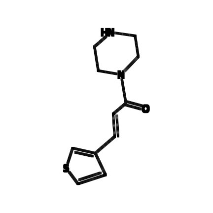 O=C(C=Cc1ccsc1)N1CCNCC1